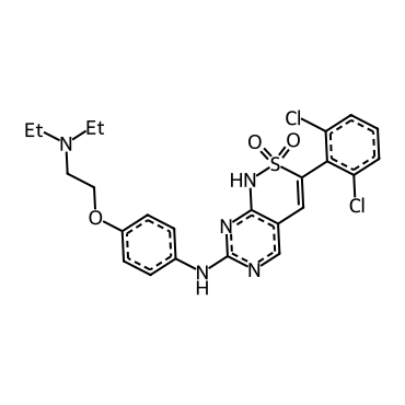 CCN(CC)CCOc1ccc(Nc2ncc3c(n2)NS(=O)(=O)C(c2c(Cl)cccc2Cl)=C3)cc1